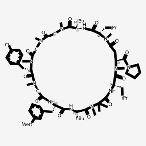 CCCC[C@@H]1NC(=O)[C@H](Cc2cccc(OC)c2)NC(=O)CN(C)C(=O)[C@H](Cc2ccc(Cl)cc2)N(C)C(=O)CN(C)C(=O)CN(C)C(=O)[C@H]([C@@H](C)CC)NC(=O)[C@H](CC(C)C)N(C)C(=O)C[C@@H](C(=O)N2CCCC2)N(C)C(=O)[C@H](CC(C)C)NC(=O)C(C)(C)N(C)C1=O